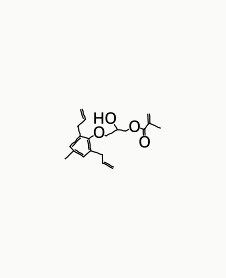 C=CCc1cc(C)cc(CC=C)c1OCC(O)COC(=O)C(=C)C